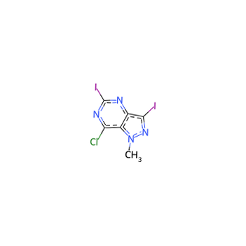 Cn1nc(I)c2nc(I)nc(Cl)c21